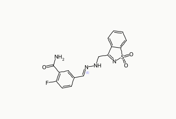 NC(=O)c1cc(/C=N/NCC2=NS(=O)(=O)c3ccccc32)ccc1F